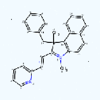 C[N+]1=C(/C=C/c2ccccn2)C(C)(Cc2ccccc2)c2c1ccc1ccccc21